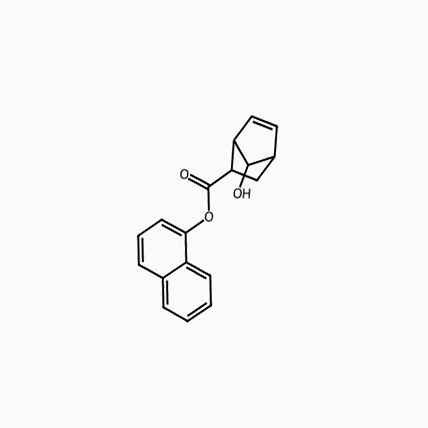 O=C(Oc1cccc2ccccc12)C1CC2C=CC1C2O